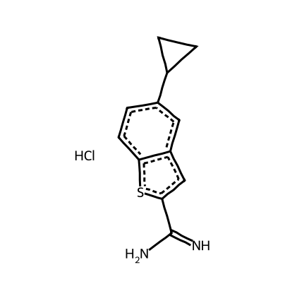 Cl.N=C(N)c1cc2cc(C3CC3)ccc2s1